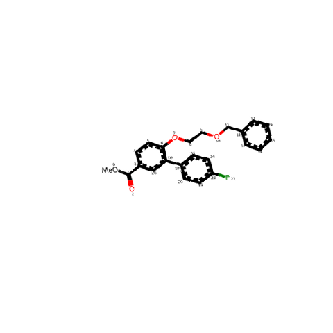 COC(=O)c1ccc(OCCOCc2ccccc2)c(-c2ccc(F)cc2)c1